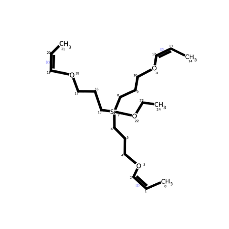 C/C=C\OCCC[Si](CCCO/C=C\C)(CCCO/C=C\C)OCC